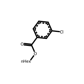 CCCCCCOC(=O)c1cccc(Cl)c1